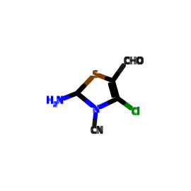 N#CN1C(Cl)=C(C=O)SC1N